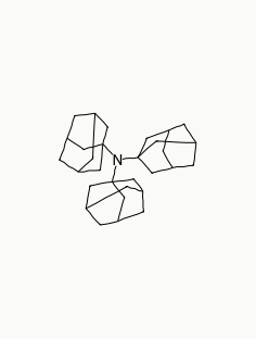 C1C2CC3CC1CC(N(C14CC5CC(CC(C5)C1)C4)C14CC5CC(CC(C5)C1)C4)(C2)C3